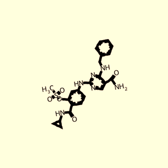 CS(=O)(=O)Oc1cc(Nc2ncc(C(N)=O)c(NCc3ccccc3)n2)ccc1C(=O)NC1CC1